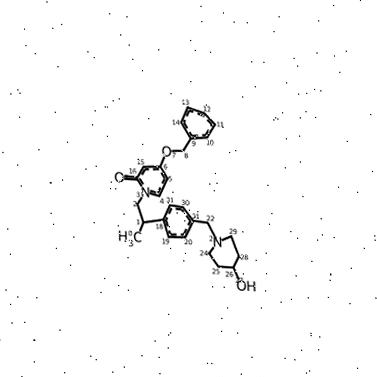 CC(Cn1ccc(OCc2ccccc2)cc1=O)c1ccc(CN2CCC(O)CC2)cc1